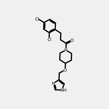 O=C(CCc1ccc(Cl)cc1Cl)N1CCC(OCc2c[nH]cn2)CC1